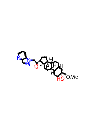 COC[C@@]1(O)CC[C@H]2[C@H](CC[C@@H]3[C@@H]2CC[C@]2(C)[C@@H](C(=O)Cn4ncc5ncccc54)CC[C@@H]32)C1